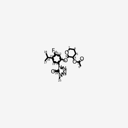 CC(=O)OC1CCCOC1Oc1cc(F)c(C(C)C)cc1-n1nnn(C)c1=O